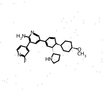 CO[C@H]1CC[C@@H](C2C=CC(c3cnc(N)c(-c4ccnc(F)c4)c3)=CC2[C@@H]2CCCN2)CC1